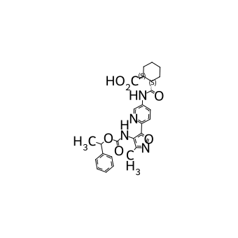 Cc1noc(-c2ccc(NC(=O)[C@H]3CCCC[C@@H]3C(=O)O)cn2)c1NC(=O)OC(C)c1ccccc1